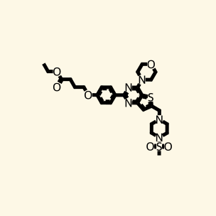 CCOC(=O)CCCOc1ccc(-c2nc(N3CCOCC3)c3sc(CN4CCN(S(C)(=O)=O)CC4)cc3n2)cc1